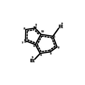 CCc1ccc(CC)c2scnc12